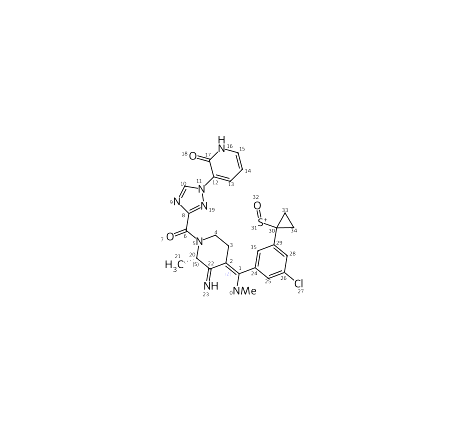 CN/C(=C1/CCN(C(=O)c2ncn(-c3ccc[nH]c3=O)n2)[C@@H](C)C1=N)c1cc(Cl)cc(C2([S+]=O)CC2)c1